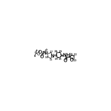 CN(C(=O)OC(C)(C)C)C1CCN(c2ccc(NC(=O)c3ccco3)cc2)C1